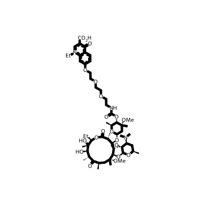 CC[C@H]1OC(=O)[C@H](C)[C@@H](O[C@H]2C[C@@](C)(OC)[C@@H](OC(=O)NCCOCCOCCOc3ccc4c(=O)c(C(=O)O)cn(CC)c4c3)[C@H](C)O2)[C@H](C)[C@@H](O[C@@H]2O[C@H](C)C[C@H](N(C)C)[C@H]2O)[C@](C)(OC)C[C@@H](C)C(=O)[C@H](C)[C@@H](O)[C@]1(C)O